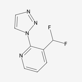 FC(F)c1cccnc1-n1ccnn1